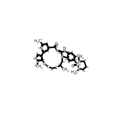 Cc1cc2cc(n1)-c1cnn(C)c1OCCCC(C)CN1/C(=N/C2=O)Nc2ccc(P3(=O)N(C)CCCN3C)cc21